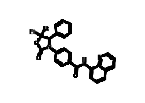 CCC1(CC)OC(=O)N(c2ccc(C(=O)Nc3cccc4cccnc34)cc2)C1c1ccccc1